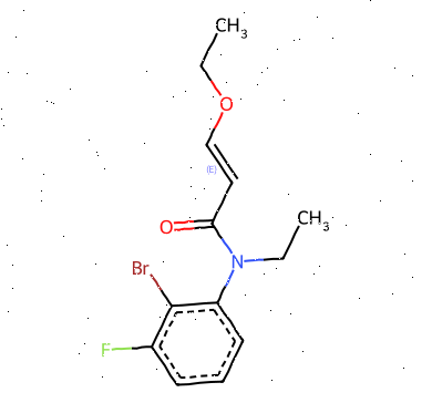 CCO/C=C/C(=O)N(CC)c1cccc(F)c1Br